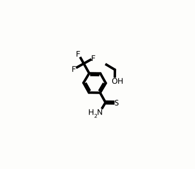 CCO.NC(=S)c1ccc(C(F)(F)F)cc1